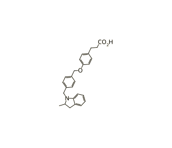 CC1Cc2ccccc2N1Cc1ccc(COc2ccc(CCC(=O)O)cc2)cc1